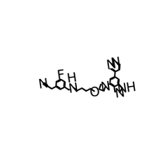 N#CCc1cc(F)cc(CNCCCCOC2CN(c3cc(-c4ccnnc4)cc4[nH]ncc34)C2)c1